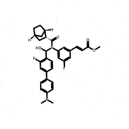 COC(=O)/C=C/c1cc(F)cc(N(C(=O)[C@@H]2C[C@@H]3CC[C@H]2C3)C(O)c2ccc(-c3ccc(N(C)C)cc3)cc2F)c1